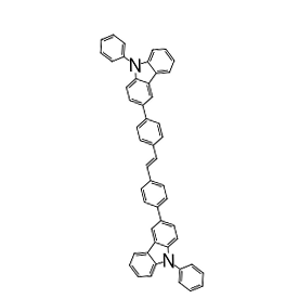 C(=Cc1ccc(-c2ccc3c(c2)c2ccccc2n3-c2ccccc2)cc1)c1ccc(-c2ccc3c(c2)c2ccccc2n3-c2ccccc2)cc1